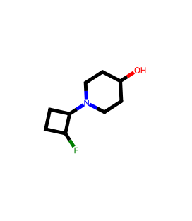 OC1CCN(C2CCC2F)CC1